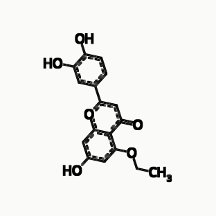 CCOc1cc(O)cc2oc(-c3ccc(O)c(O)c3)cc(=O)c12